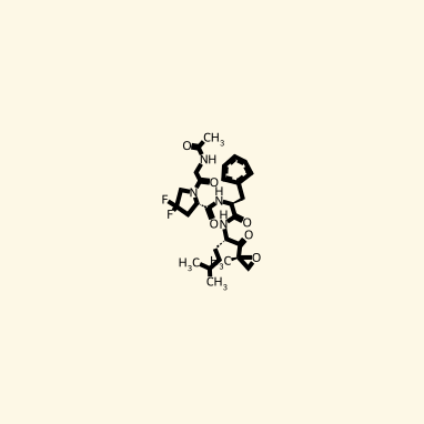 CC(=O)NCC(=O)N1CC(F)(F)C[C@H]1C(=O)N[C@@H](Cc1ccccc1)C(=O)N[C@@H](CCC(C)C)C(=O)[C@@]1(C)CO1